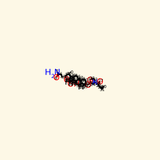 C[C@@H]1C[C@H](CCC(N)=O)O[C@H]2C1[C@@]1(C)CC[C@@]34C[C@@]35CC[C@H](OC3CN(C(=O)CC6CC6)CCO3)C(C)(C)[C@@H]5CC[C@H]4[C@]1(C)[C@H]2O